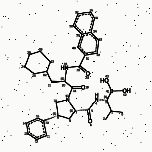 CC(C)[C@H](NC(=O)[C@@H]1C[C@H](c2ccccc2)CN1C(=O)[C@@H](CC1CCCCC1)NC(=O)c1ccc2ccccc2c1)B(O)O